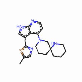 Cc1cnc(-c2c[nH]c3nccc(N4CCC[C@@]5(CCCCN5)C4)c23)s1